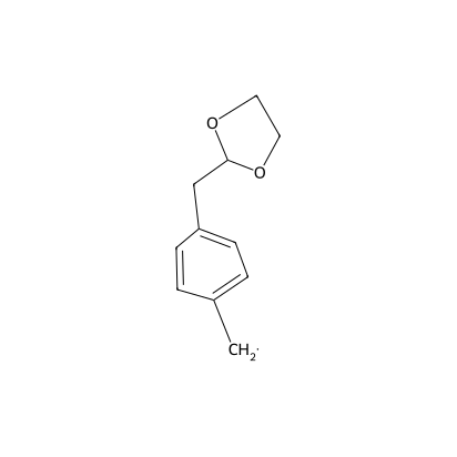 [CH2]c1ccc(CC2OCCO2)cc1